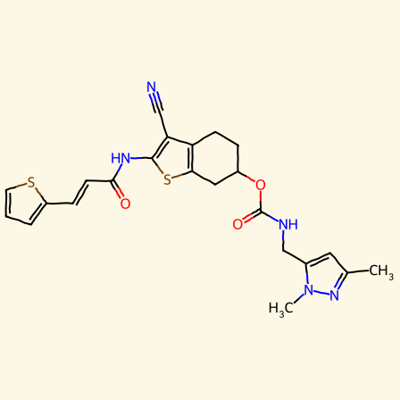 Cc1cc(CNC(=O)OC2CCc3c(sc(NC(=O)C=Cc4cccs4)c3C#N)C2)n(C)n1